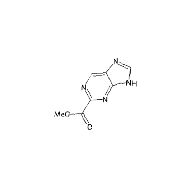 COC(=O)c1ncc2nc[nH]c2n1